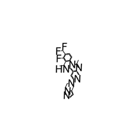 Cc1nc(NC(C)c2cccc(C(F)F)c2F)c2cc(N3CCn4nccc4C3)ncc2n1